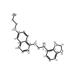 BrCCOc1ccc2c(OCNc3cccc4c3OCO4)ncnc2c1